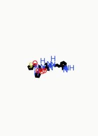 Cc1nc(NCCCc2cccc3[nH]ncc23)nc(C)c1C(=O)NC(CNC(=O)c1cccs1)C(=O)OC1CCCC1